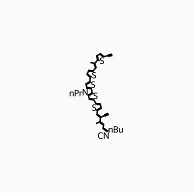 C#CC(=C\c1ccc(-c2cc3c(s2)c2sc(-c4ccc(/C=C(\C)c5ccc(C#C)s5)s4)cc2n3CCC)s1)/C(C)=C/C=C(/C#N)CCCC